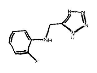 Fc1ccccc1NCc1nnn[nH]1